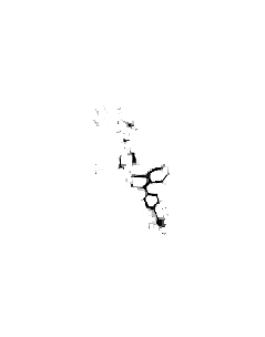 C[C@@H]1CN(C(=O)OC(C)(C)C)CCN1c1nnc(-c2ccc(C(F)(F)F)cc2)c2ccncc12